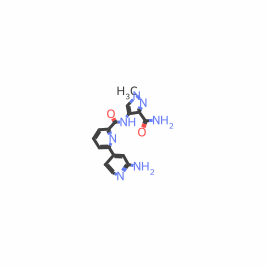 Cn1cc(NC(=O)c2cccc(-c3ccnc(N)c3)n2)c(C(N)=O)n1